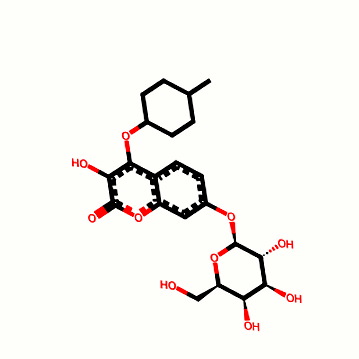 CC1CCC(Oc2c(O)c(=O)oc3cc(O[C@@H]4O[C@H](CO)[C@H](O)[C@H](O)[C@H]4O)ccc23)CC1